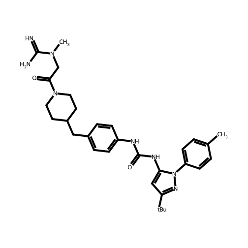 Cc1ccc(-n2nc(C(C)(C)C)cc2NC(=O)Nc2ccc(CC3CCN(C(=O)CN(C)C(=N)N)CC3)cc2)cc1